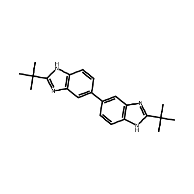 CC(C)(C)c1nc2cc(-c3ccc4[nH]c(C(C)(C)C)nc4c3)ccc2[nH]1